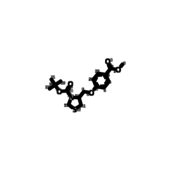 COC(=O)c1ccc(OCC2CSCN2C(=O)OC(C)(C)C)cc1